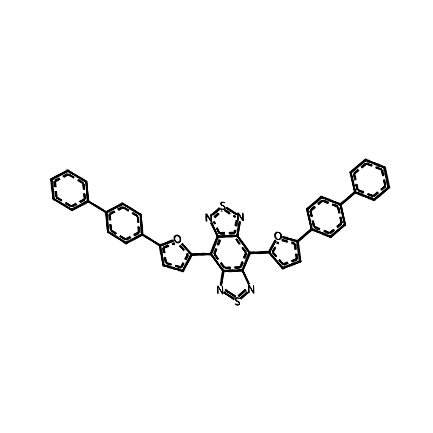 c1ccc(-c2ccc(-c3ccc(-c4c5c(c(-c6ccc(-c7ccc(-c8ccccc8)cc7)o6)c6nsnc46)N=S=N5)o3)cc2)cc1